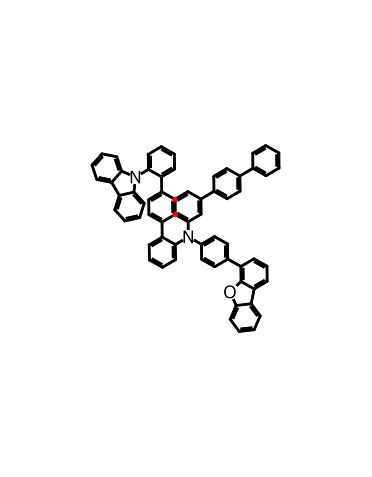 c1ccc(-c2ccc(-c3cccc(N(c4ccc(-c5cccc6c5oc5ccccc56)cc4)c4ccccc4-c4ccc(-c5ccccc5-n5c6ccccc6c6ccccc65)cc4)c3)cc2)cc1